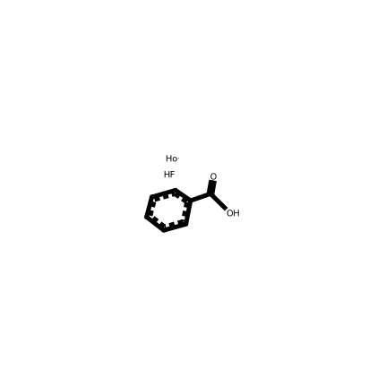 F.O=C(O)c1ccccc1.[Ho]